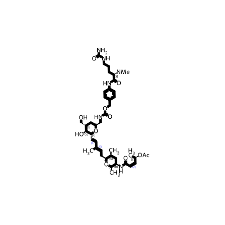 CN[C@@H](CCCNC(N)=O)C(=O)Nc1ccc(COC(=O)NC[C@@H]2C[C@@H](CO)[C@H](O)[C@@H](/C=C/C(C)=C/C[C@@H]3O[C@H](C)[C@H](NC(=O)/C=C\[C@H](C)OC(C)=O)C[C@@H]3C)O2)cc1